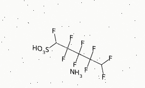 N.O=S(=O)(O)C(F)C(F)(F)C(F)(F)C(F)(F)C(F)F